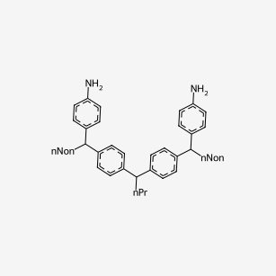 CCCCCCCCCC(c1ccc(N)cc1)c1ccc(C(CCC)c2ccc(C(CCCCCCCCC)c3ccc(N)cc3)cc2)cc1